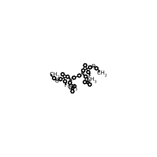 C=Cc1ccc(Oc2ccc(C3(c4ccc(F)cc4)c4ccccc4-c4ccc(N(c5ccc(-c6ccc(N(c7ccc(C)c(-c8cccc9c8oc8ccccc89)c7)c7ccc8c(c7)C(c7ccc(F)cc7)(c7ccc(Oc9ccc(C=C)cc9)cc7)c7ccccc7-8)cc6)cc5)c5ccc(C)c(-c6cccc7c6oc6ccccc67)c5)cc43)cc2)cc1